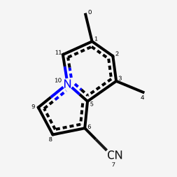 Cc1cc(C)c2c(C#N)ccn2c1